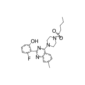 CCCCS(=O)(=O)N1CCN(c2nc(-c3c(O)cccc3F)nc3cc(C)ccc23)CC1